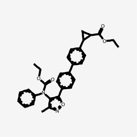 CCOC(=O)C1CC1c1ccc(-c2ccc(-c3onc(C)c3N(C(=O)OCC)c3ccccc3)cc2)cc1